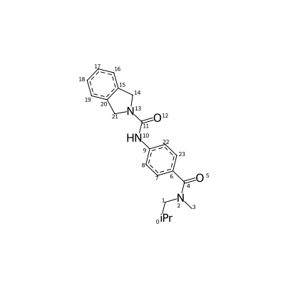 CC(C)CN(C)C(=O)c1ccc(NC(=O)N2Cc3ccccc3C2)cc1